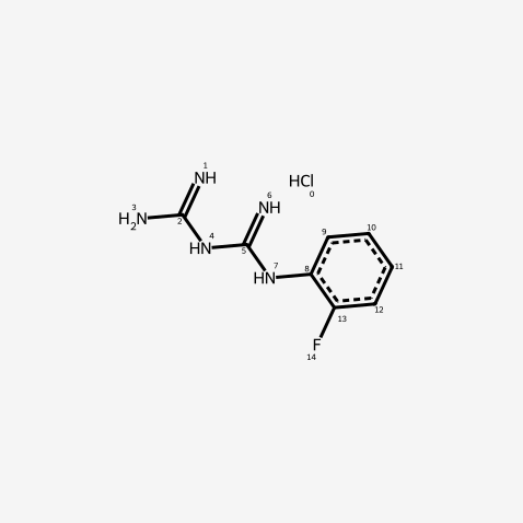 Cl.N=C(N)NC(=N)Nc1ccccc1F